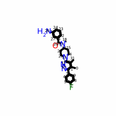 Cc1c(-c2ccc(F)cc2)nnc(N2CCC(N(C)C(=O)c3cccc(N)c3)CC2)c1C